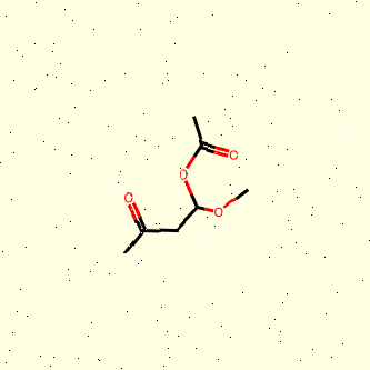 COC(CC(C)=O)OC(C)=O